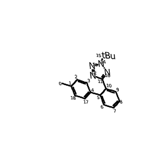 Cc1ccc(-c2ccccc2-c2nnn(C(C)(C)C)n2)cc1